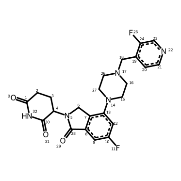 O=C1CCC(N2Cc3c(cc(F)cc3N3CCN(Cc4ccncc4F)CC3)C2=O)C(=O)N1